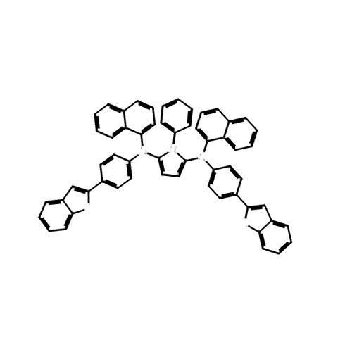 c1ccc(-n2c(N(c3ccc(-c4cc5ccccc5s4)cc3)c3cccc4ccccc34)ccc2N(c2ccc(-c3cc4ccccc4s3)cc2)c2cccc3ccccc23)cc1